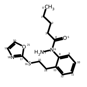 CCCCC(=O)N(N)c1ccccc1CCSc1ncco1